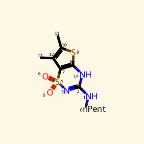 CCCCCNC1=NS(=O)(=O)c2c(sc(C)c2C)N1